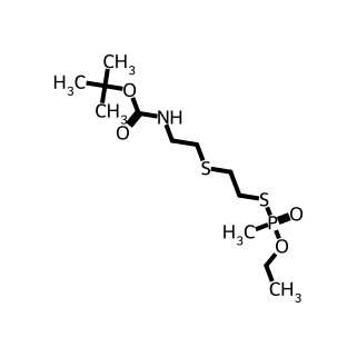 CCOP(C)(=O)SCCSCCNC(=O)OC(C)(C)C